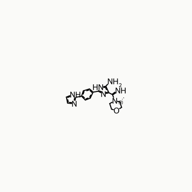 C[C@@H]1COCCN1C(=N)c1nc(-c2ccc(-c3ncc[nH]3)cc2)[nH]c1N